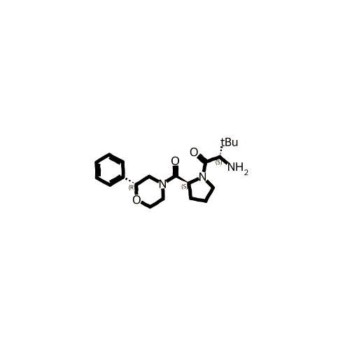 CC(C)(C)[C@H](N)C(=O)N1CCC[C@H]1C(=O)N1CCO[C@H](c2ccccc2)C1